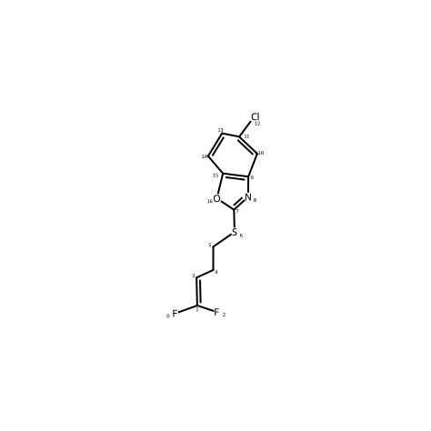 FC(F)=CCCSc1nc2cc(Cl)ccc2o1